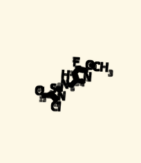 COc1ncc(CNc2nc(Cl)c(C=O)s2)cc1F